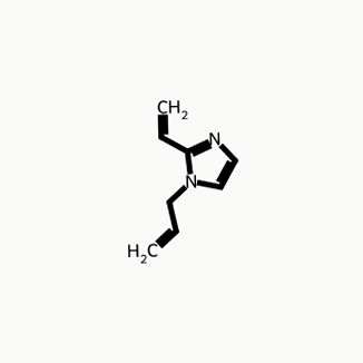 C=CCn1ccnc1C=C